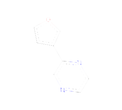 [c]1occc1-c1cnccn1